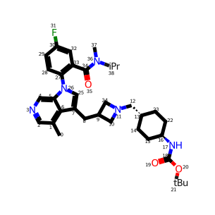 Cc1cncc2c1c(CC1CN(C[C@H]3CC[C@H](NC(=O)OC(C)(C)C)CC3)C1)cn2-c1ccc(F)cc1C(=O)N(C)C(C)C